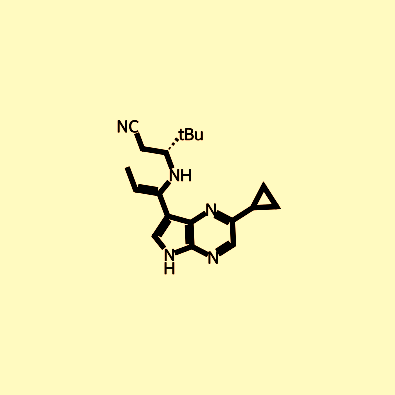 C/C=C(\N[C@H](CC#N)C(C)(C)C)c1c[nH]c2ncc(C3CC3)nc12